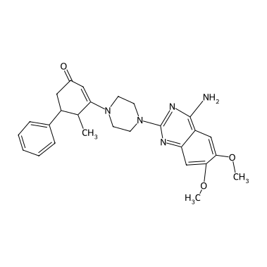 COc1cc2nc(N3CCN(C4=CC(=O)CC(c5ccccc5)C4C)CC3)nc(N)c2cc1OC